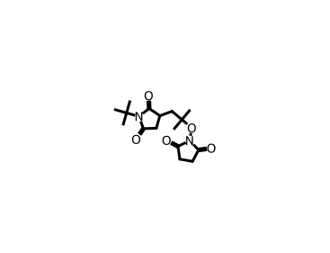 CC(C)(CC1CC(=O)N(C(C)(C)C)C1=O)ON1C(=O)CCC1=O